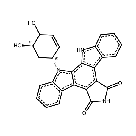 O=C1NC(=O)c2c1c1c3ccccc3[nH]c1c1c2c2ccccc2n1[C@H]1C=CC(O)[C@H](O)C1